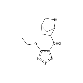 CCOc1nsnc1OC1CC2CNC1C2.Cl